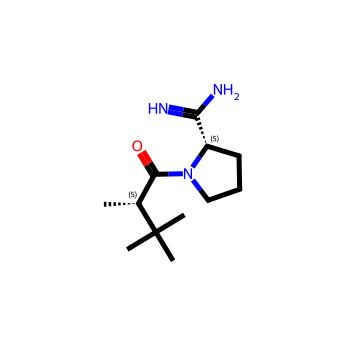 C[C@H](C(=O)N1CCC[C@H]1C(=N)N)C(C)(C)C